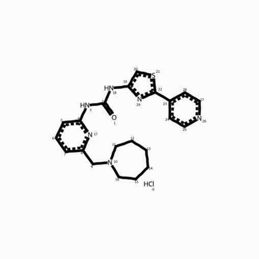 Cl.O=C(Nc1cccc(CN2CCCCCC2)n1)Nc1csc(-c2ccncc2)n1